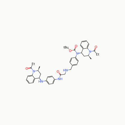 CCC(=O)N1c2ccccc2[C@H](N(C(=O)OC(C)(C)C)c2ccc(CNCC(=O)Nc3ccc(N[C@@H]4C[C@H](C)N(C(=O)CC)c5ccccc54)cc3)cc2)C[C@@H]1C